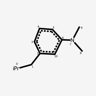 CC(C)Cc1cccc(N(C)C)c1